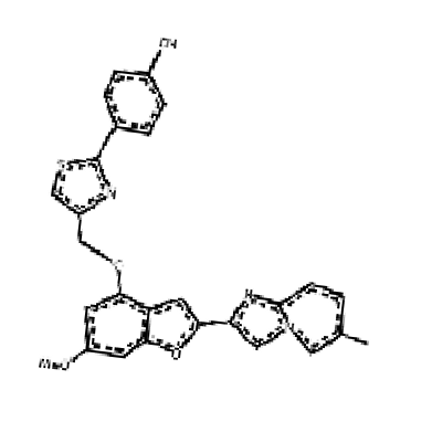 COc1cc(OCc2csc(-c3ccc(C#N)cc3)n2)c2cc(-c3cn4cc(C)ccc4n3)oc2c1